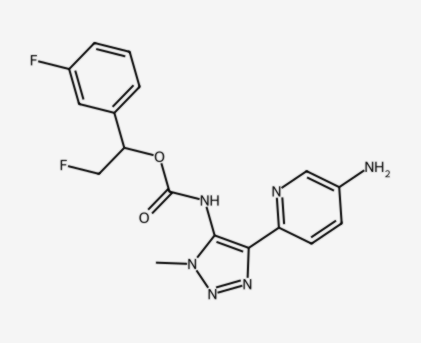 Cn1nnc(-c2ccc(N)cn2)c1NC(=O)OC(CF)c1cccc(F)c1